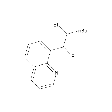 CCCCC(CC)C(F)c1cccc2cccnc12